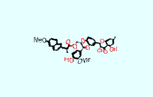 COc1ccc2cc([C@H](C)C(=O)OC[C@@H]3Oc4ccc(C5Oc6cc(C)cc(O)c6C(=O)[C@H]5O)cc4O[C@H]3c3ccc(O)c(OC)c3)ccc2c1